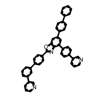 c1ccc(-c2ccc(-c3cc(-c4ccc(-c5cccnc5)cc4)c4nc(-c5ccc(-c6cccc(-c7cccnc7)c6)cc5)oc4c3)cc2)cc1